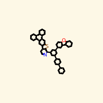 c1ccc(-c2ccc(-c3cc(-c4ccc5oc6ccccc6c5c4)cc(-c4nccc5c4sc4cc6c7ccccc7c7ccccc7c6cc45)c3)cc2)cc1